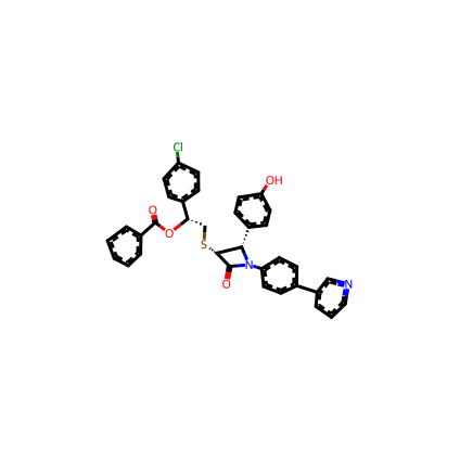 O=C(O[C@@H](CS[C@H]1C(=O)N(c2ccc(-c3cccnc3)cc2)[C@H]1c1ccc(O)cc1)c1ccc(Cl)cc1)c1ccccc1